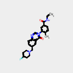 CCNC(=O)c1ccc(C)c(-n2cnc3ccc(CN4CCC(F)CC4)cc3c2=O)c1